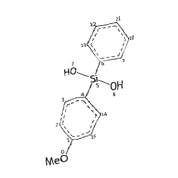 COc1ccc([Si](O)(O)c2ccccc2)cc1